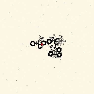 CCCCC(CC)CC(N)(CC(CC)CCCC)n1c(=S)sc2ccccc21.NC(c1ccccc1)(c1ccccc1)n1c(=S)sc2ccccc21.S=c1sc2ccccc2n1CN(C1CCCCC1)C1CCCCC1